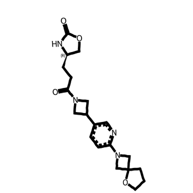 O=C1N[C@H](CCC(=O)N2CC(c3ccc(N4CC5(CCCO5)C4)nc3)C2)CO1